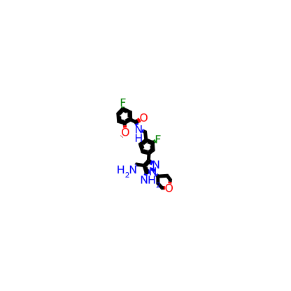 COc1ccc(F)cc1C(=O)NCc1ccc(-c2nn(C3CCOCC3)c(N)c2CN)cc1F